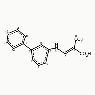 O=C(O)C(=CNc1cccc(-c2ccncc2)c1)C(=O)O